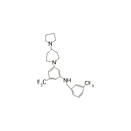 FC(F)(F)c1cccc(CNc2cc(N3CCC(N4CCCC4)CC3)cc(C(F)(F)F)c2)c1